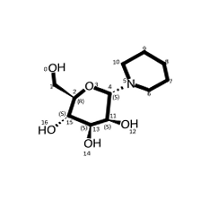 OC[C@H]1O[C@H](N2CCCCC2)[C@@H](O)[C@@H](O)[C@@H]1O